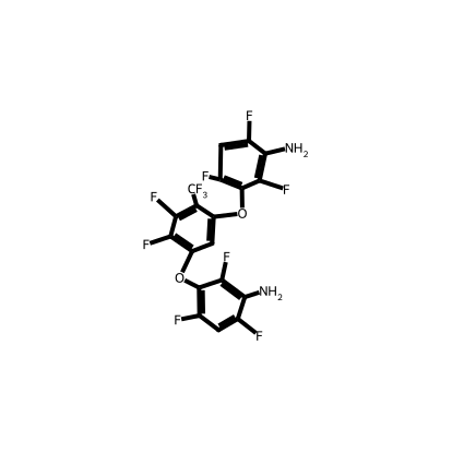 Nc1c(F)cc(F)c(Oc2cc(Oc3c(F)cc(F)c(N)c3F)c(C(F)(F)F)c(F)c2F)c1F